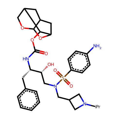 CC(C)N1CC(CN(C[C@@H](O)[C@H](Cc2ccccc2)NC(=O)OC2C3COC4OC2CC4C3)S(=O)(=O)c2ccc(N)cc2)C1